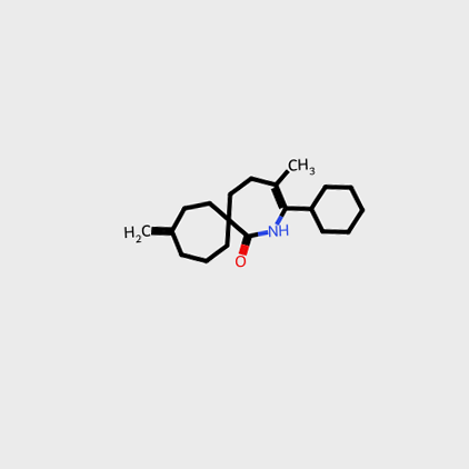 C=C1CCCC2(CC1)CCC(C)=C(C1CCCCC1)NC2=O